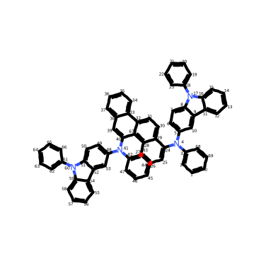 c1ccc(N(c2ccc3c(c2)c2ccccc2n3-c2ccccc2)c2cccc3c2ccc2c4ccccc4cc(N(c4ccccc4)c4ccc5c(c4)c4ccccc4n5-c4ccccc4)c32)cc1